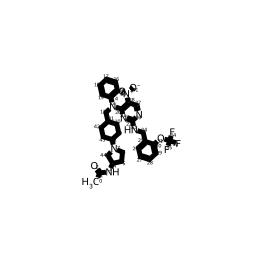 CC(=O)NC1CCN(C2CCC(CN(c3ccccc3)c3nc(NCc4ccccc4OC(F)(F)F)ncc3[N+](=O)[O-])CC2)C1